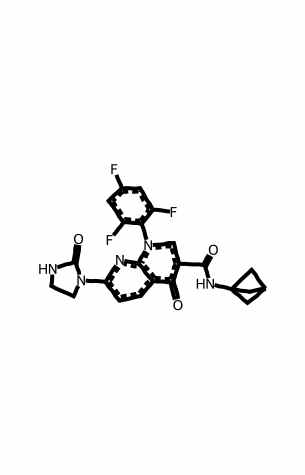 O=C(NC12CC(C1)C2)c1cn(-c2c(F)cc(F)cc2F)c2nc(N3CCNC3=O)ccc2c1=O